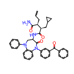 C=CC[C@H](C(N)=O)[C@@H](CC1CC1)C(=O)NC1CN(c2ccccc2)c2ccccc2N(c2cccc(C(=O)c3ccccc3)c2)C1=O